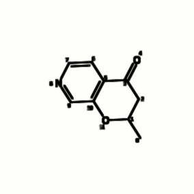 CC1CC(=O)c2ccncc2O1